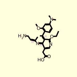 CCOC1=NC=C(CC(=O)O)C(=N/C(C)=C/CN)/C1=C(\C)c1ccc(N(C)C)cc1OC